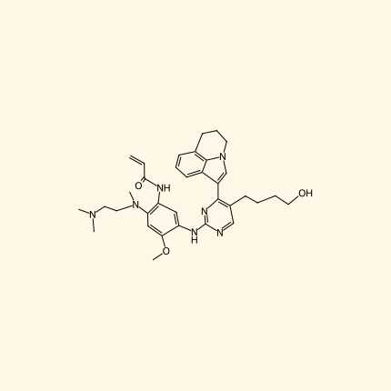 C=CC(=O)Nc1cc(Nc2ncc(CCCCO)c(-c3cn4c5c(cccc35)CCC4)n2)c(OC)cc1N(C)CCN(C)C